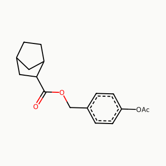 CC(=O)Oc1ccc(COC(=O)C2CC3CCC2C3)cc1